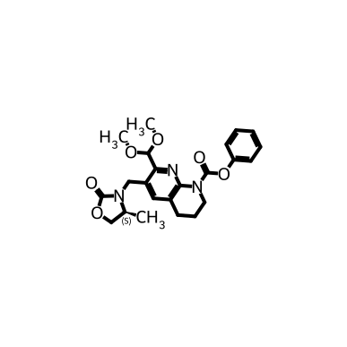 COC(OC)c1nc2c(cc1CN1C(=O)OC[C@@H]1C)CCCN2C(=O)Oc1ccccc1